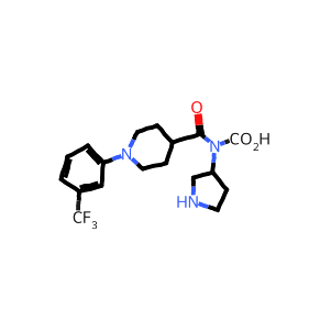 O=C(O)N(C(=O)C1CCN(c2cccc(C(F)(F)F)c2)CC1)C1CCNC1